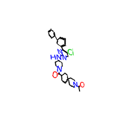 CC(=O)N1CCC2(CCC(C(=O)N3CCC(Nc4ncc(Cl)c(-c5cccc(-c6ccccc6)c5)n4)CC3)CC2)CC1